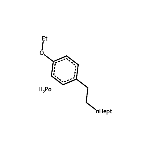 CCCCCCCCCc1ccc(OCC)cc1.[PoH2]